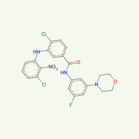 O=C(Nc1cc(F)cc(N2CCOCC2)c1)c1ccc(Cl)c(Nc2cccc(Cl)c2[N+](=O)[O-])c1